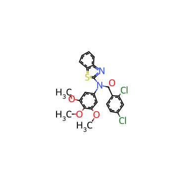 COc1cc(N(C(=O)c2ccc(Cl)cc2Cl)c2nc3ccccc3s2)cc(OC)c1OC